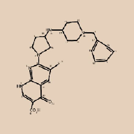 O=C(O)c1c[nH]c2nc(N3CCC(NC4CCN(Cc5ccccc5)CC4)C3)c(F)cc2c1=O